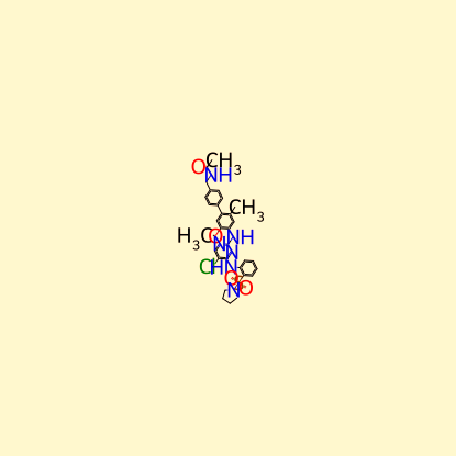 COc1cc(-c2ccc(CNC(C)=O)cc2)c(C)cc1Nc1ncc(Cl)c(Nc2ccccc2S(=O)(=O)N2CCCC2)n1